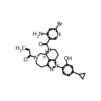 C=CC(=O)N1CCc2nn(-c3ccc(C4CC4)cc3O)c3c2[C@H](C1)N(C(=O)c1cnc(Br)cc1N)CC3